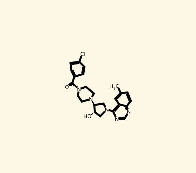 Cc1ccc2ncnc(N3C[C@H](O)[C@@H](N4CCN(C(=O)c5ccc(Cl)cc5)CC4)C3)c2c1